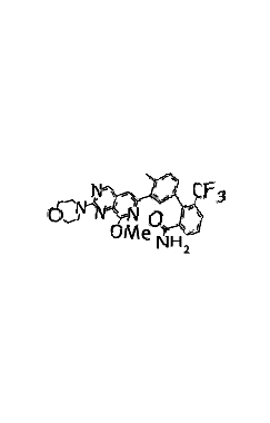 COc1nc(-c2cc(-c3c(C(N)=O)cccc3C(F)(F)F)ccc2C)cc2cnc(N3CCOCC3)nc12